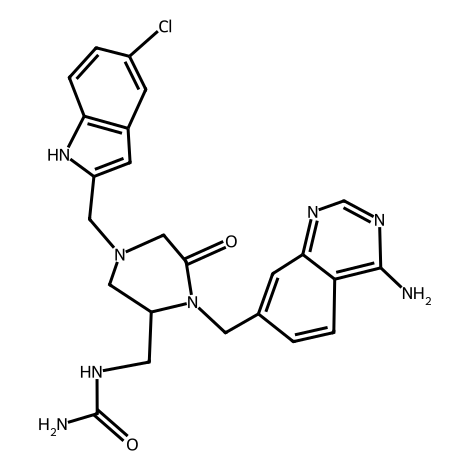 NC(=O)NCC1CN(Cc2cc3cc(Cl)ccc3[nH]2)CC(=O)N1Cc1ccc2c(N)ncnc2c1